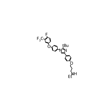 CCNCCCOc1ccc(-c2cn(-c3ccc(Oc4ccc(F)c(C(F)(F)F)c4)cc3)c(C(C)(C)C)n2)cc1